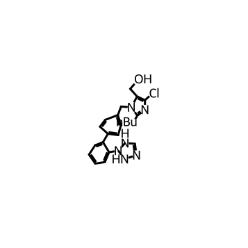 CCCCc1nc(Cl)c(CO)n1Cc1ccc(-c2ccccc2N2NC=NN2)cc1